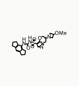 COC1CN([C@H]2COc3c(S(=O)(=O)NC(=O)Nc4c5c(cc6c4CCC6)CCC5)cnn3C2)C1